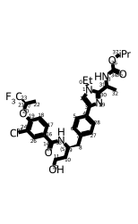 CCn1cc(-c2ccc(C[C@@H](CCO)NC(=O)c3ccc(O[C@H](C)C(F)(F)F)c(Cl)c3)cc2)nc1C(C)NC(=O)OC(C)C